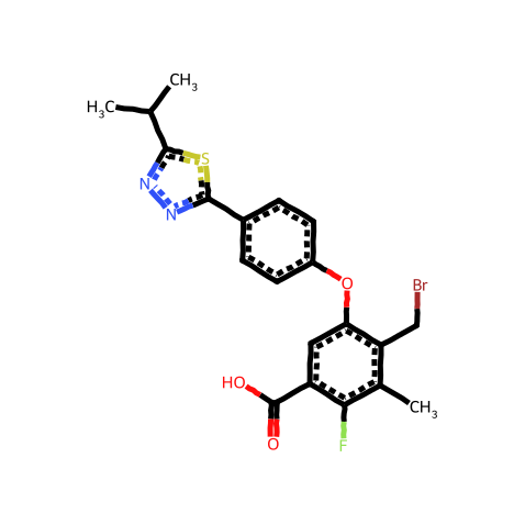 Cc1c(F)c(C(=O)O)cc(Oc2ccc(-c3nnc(C(C)C)s3)cc2)c1CBr